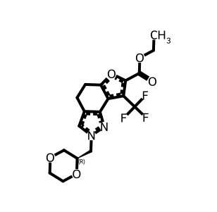 CCOC(=O)c1oc2c(c1C(F)(F)F)-c1nn(C[C@@H]3COCCO3)cc1CC2